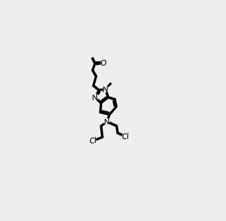 CC(=O)CCCc1nc2cc(N(CCCl)CCCl)ccc2n1C